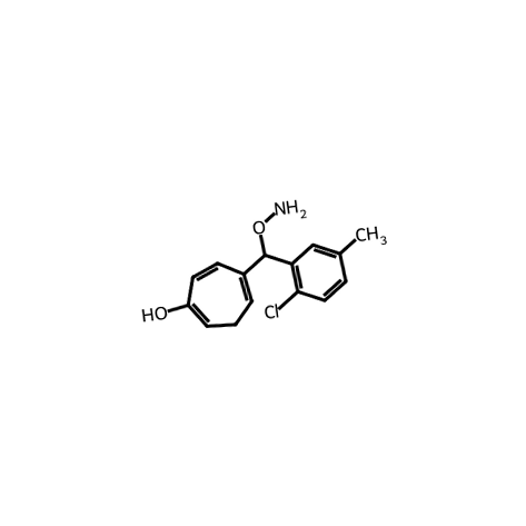 Cc1ccc(Cl)c(C(ON)C2=CCC=C(O)C=C2)c1